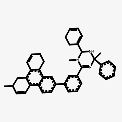 CC1C=Cc2c(c3c(c4cc(-c5cccc(C6=NC(C)(c7ccccc7)NC(C7=CC=CCC7)N6C)c5)ccc24)CCC=C3)C1